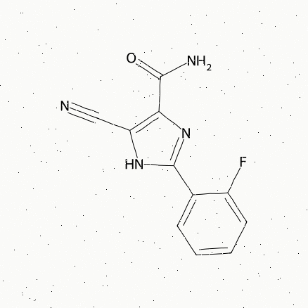 N#Cc1[nH]c(-c2ccccc2F)nc1C(N)=O